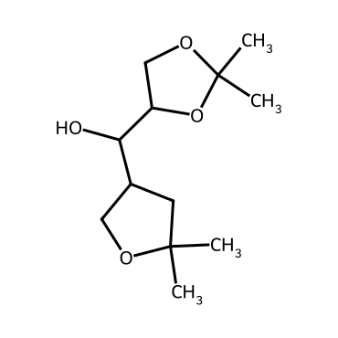 CC1(C)CC(C(O)C2COC(C)(C)O2)CO1